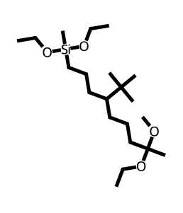 CCOC(C)(CCCC(CCC[Si](C)(OCC)OCC)C(C)(C)C)OC